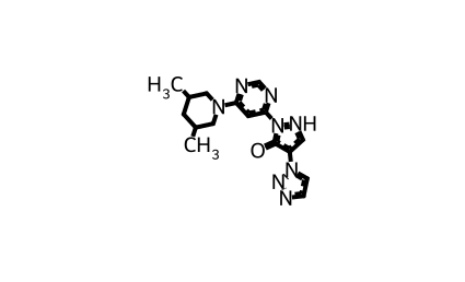 CC1CC(C)CN(c2cc(-n3[nH]cc(-n4ccnn4)c3=O)ncn2)C1